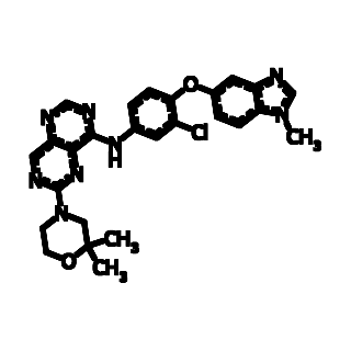 Cn1cnc2cc(Oc3ccc(Nc4ncnc5cnc(N6CCOC(C)(C)C6)nc45)cc3Cl)ccc21